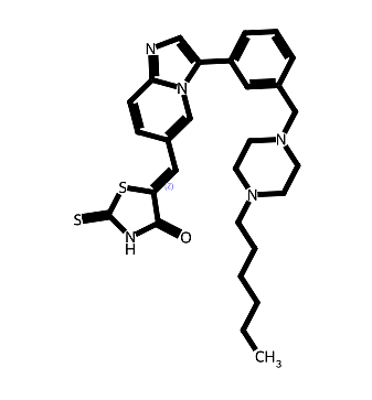 CCCCCCN1CCN(Cc2cccc(-c3cnc4ccc(/C=C5\SC(=S)NC5=O)cn34)c2)CC1